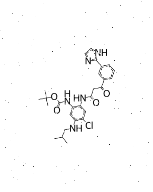 CC(C)CNc1cc(NC(=O)OC(C)(C)C)c(NC(=O)CC(=O)c2cccc(-c3ncc[nH]3)c2)cc1Cl